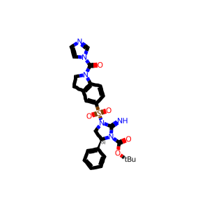 CC(C)(C)OC(=O)N1C(=N)N(S(=O)(=O)c2ccc3c(c2)CCN3C(=O)n2ccnc2)C[C@@H]1c1ccccc1